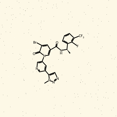 C[C@@H](NC(=O)c1cc(Br)c(=O)n(-c2cncc(-c3cnnn3C)c2)c1)c1cccc(C(F)(F)F)c1F